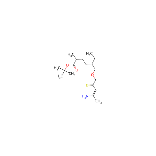 CCC(CCC(C)C(=O)OC(C)(C)C)COCC(=S)/C=C(/C)N